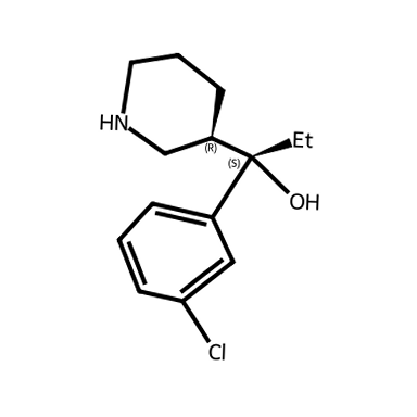 CC[C@@](O)(c1cccc(Cl)c1)[C@@H]1CCCNC1